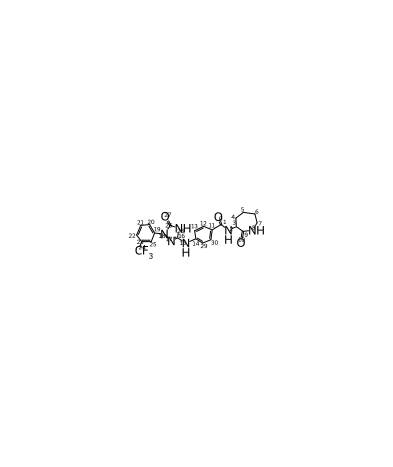 O=C(NC1CCCCNC1=O)c1ccc(Nc2nn(-c3cccc(C(F)(F)F)c3)c(=O)[nH]2)cc1